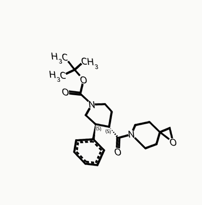 CC(C)(C)OC(=O)N1CC[C@H](C(=O)N2CCC3(CC2)CO3)[C@@H](c2ccccc2)C1